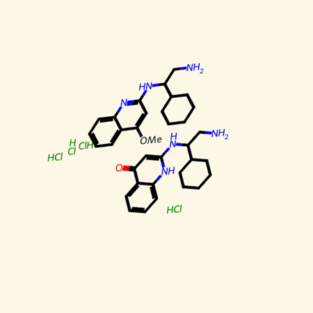 COc1cc(NC(CN)C2CCCCC2)nc2ccccc12.Cl.Cl.Cl.Cl.NCC(Nc1cc(=O)c2ccccc2[nH]1)C1CCCCC1